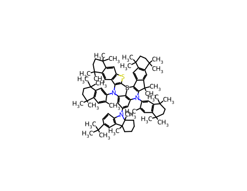 Cc1cc2c(cc1N1C3=C(B4c5sc6cc7c(cc6c5N(c5cc6c(cc5C)C(C)(C)CCC6(C)C)c5cc(N6c8ccc(C(C)(C)C)cc8C8(C)CCCCC68C)cc1c54)C(C)(C)CCC7(C)C)c1cc4c(cc1C3(C)C)C(C)(C)CCC4(C)C)C(C)(C)CCC2(C)C